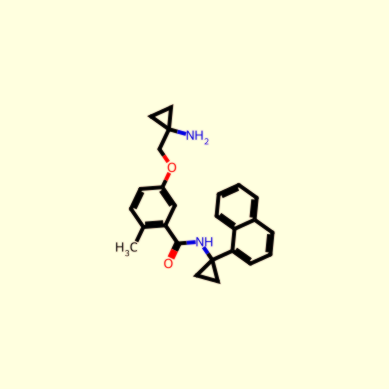 Cc1ccc(OCC2(N)CC2)cc1C(=O)NC1(c2cccc3ccccc23)CC1